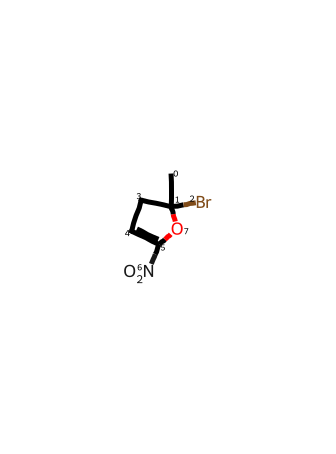 CC1(Br)CC=C([N+](=O)[O-])O1